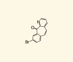 O=c1c2cc(Br)ccc2ccc2cccnc12